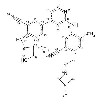 Cc1cc(CCN2CC(F)C2)c(C#N)cc1Nc1nccc(-c2cc(C#N)c3c(c2)[C@@](C)(CO)CN3)n1